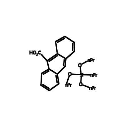 CCCO[Si](CCC)(OCCC)OCCC.O=C(O)c1c2ccccc2cc2ccccc12